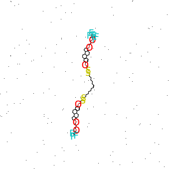 CC12CCC3c4ccc(OCCSSCCCCCC/C=C\CCCCCCSSCCOc5ccc6c(c5)CCC5C6CCC6(C)C(OCCCOC(C)(C(F)(F)F)C(F)(F)F)CCC56)cc4CCC3C1CCC2OCCCOC(C)(C)C(F)(F)F